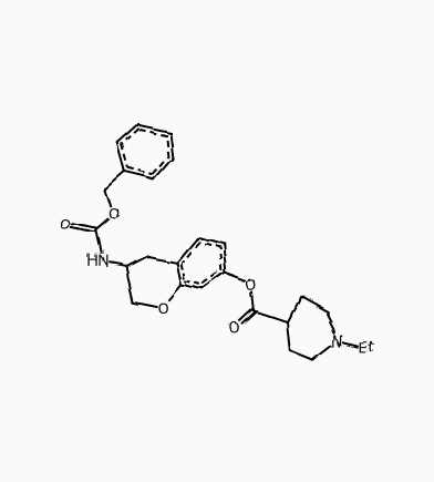 CCN1CCC(C(=O)Oc2ccc3c(c2)OCC(NC(=O)OCc2ccccc2)C3)CC1